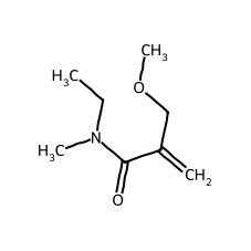 C=C(COC)C(=O)N(C)CC